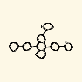 c1ccc(-c2ccc(-c3c4ccccc4c(-c4ccc(-c5ccccn5)cc4)c4cc(-c5ccccn5)ccc34)cc2)cc1